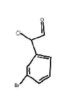 O=CC(Cl)c1cccc(Br)c1